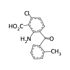 Cc1ccccc1C(=O)c1ccc(Cl)c(C(=O)O)c1N